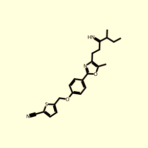 CCC(C)C(=N)CCc1nc(-c2ccc(OCc3ccc(C#N)s3)cc2)oc1C